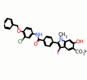 Cn1c(-c2ccc(C(=O)Nc3ccc(OCc4ccccc4)c(Cl)c3)cc2)c(I)c2cc(C(=O)O)c(O)cc21